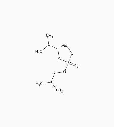 CC(C)COP(=S)([O][Mo])SCC(C)C